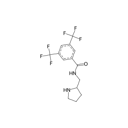 O=C(NCC1CCCN1)c1cc(C(F)(F)F)cc(C(F)(F)F)c1